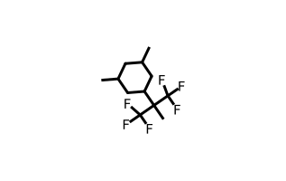 CC1CC(C)CC(C(C)(C(F)(F)F)C(F)(F)F)C1